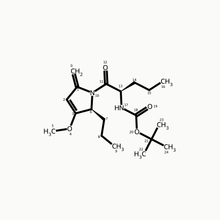 C=C1C=C(OC)[C@H](CCC)N1C(=O)[C@@H](CCC)NC(=O)OC(C)(C)C